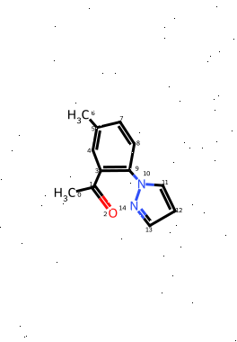 CC(=O)c1cc(C)ccc1-n1cccn1